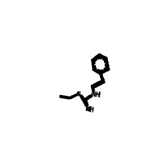 CCSC(=N)NC=Cc1ccccc1